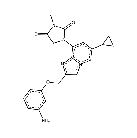 CN1C(=O)CN(c2cc(C3CC3)cn3cc(COc4cccc(N)c4)nc23)C1=O